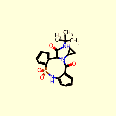 CC(C)(C)NC(=O)C1c2ccccc2S(=O)(=O)Nc2ccccc2C(=O)N1C1CC1